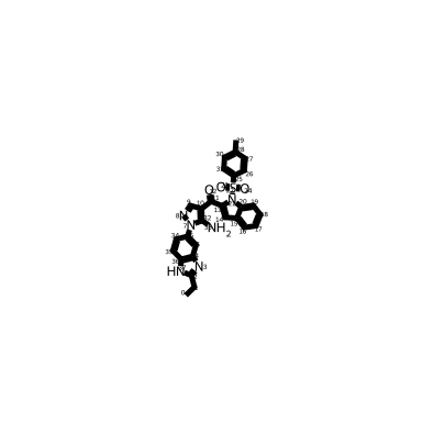 CCc1nc2cc(-n3ncc(C(=O)c4cc5ccccc5n4S(=O)(=O)c4ccc(C)cc4)c3N)ccc2[nH]1